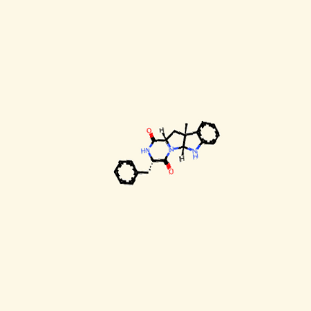 C[C@]12C[C@H]3C(=O)N[C@@H](Cc4ccccc4)C(=O)N3[C@H]1Nc1ccccc12